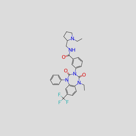 CCN1C(=O)N(c2cccc(C(=O)NCC3CCCN3CC)c2)C(=O)N(c2ccccc2)c2cc(C(F)(F)F)ccc21